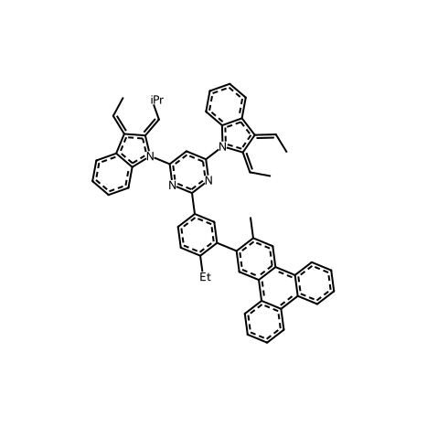 C/C=c1\c(=C/C)n(-c2cc(-n3c(=C/C(C)C)/c(=C\C)c4ccccc43)nc(-c3ccc(CC)c(-c4cc5c6ccccc6c6ccccc6c5cc4C)c3)n2)c2ccccc12